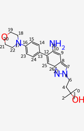 CC(C)(O)CCn1cc2cc(N)c(-c3ccc(N4CCOCC4)cc3)cc2n1